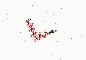 [Al+3].[Al+3].[Fe+3].[Fe+3].[O]=[Ti]([O-])[O-].[O]=[Ti]([O-])[O-].[O]=[Ti]([O-])[O-].[O]=[Ti]([O-])[O-].[O]=[Ti]([O-])[O-].[O]=[Ti]([O-])[O-]